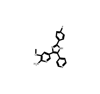 COc1cc(-c2nc(-c3ccc(F)cc3)[nH]c2-c2ccncc2)cnc1N